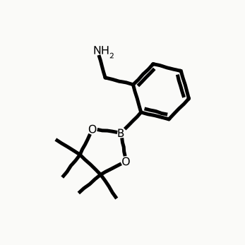 CC1(C)OB(c2ccccc2CN)OC1(C)C